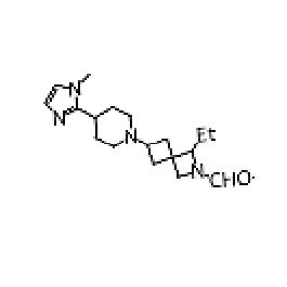 CCC1N([C]=O)CC12CC(N1CCC(c3nccn3C)CC1)C2